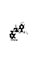 COc1ccc(C(C)N2C[C@@H]3CC2CN3c2cc(C(F)(F)F)ccc2C(N)=O)c(C)c1C